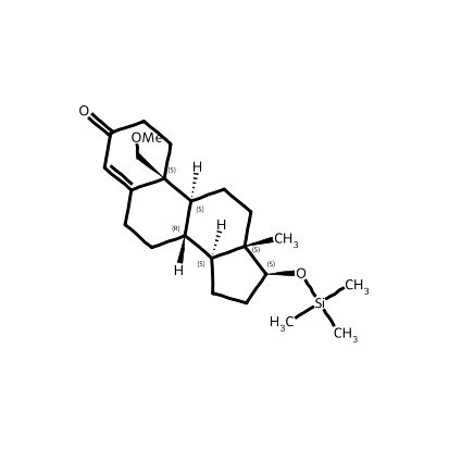 COC[C@]12CCC(=O)C=C1CC[C@@H]1[C@@H]2CC[C@]2(C)[C@@H](O[Si](C)(C)C)CC[C@@H]12